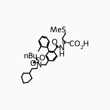 CCCCS(=O)(=O)N(CCC1CCCCC1)Cc1ccc(C(=O)N[C@@H](CCSC)C(=O)O)c(-c2ccccc2C)c1